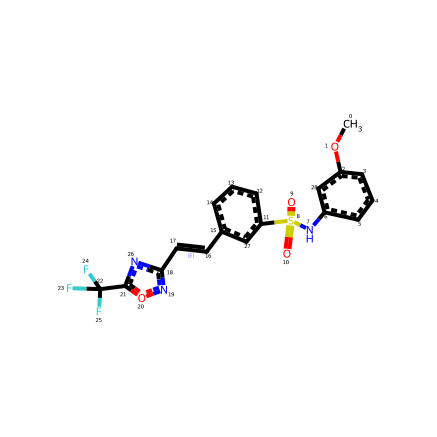 COc1cccc(NS(=O)(=O)c2cccc(/C=C/c3noc(C(F)(F)F)n3)c2)c1